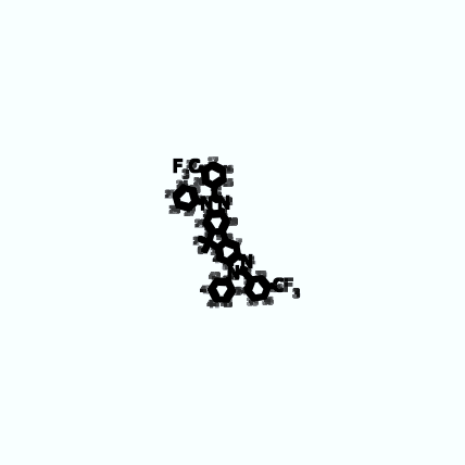 CC1(C)c2cc3c(cc2-c2cc4nc(-c5cccc(C(F)(F)F)c5)n(-c5ccccc5)c4cc21)nc(C1=CCCC(C(F)(F)F)=C1)n3-c1ccccc1